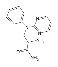 NC(=O)C(N)CN(c1ccccc1)c1ncccn1